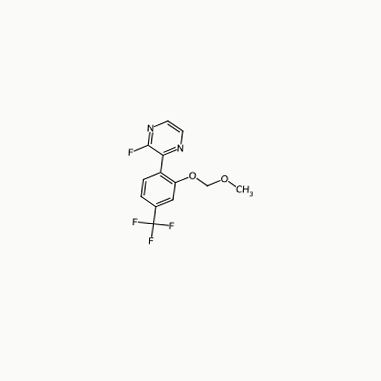 COCOc1cc(C(F)(F)F)ccc1-c1nccnc1F